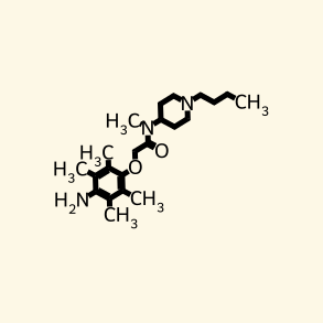 CCCCN1CCC(N(C)C(=O)COc2c(C)c(C)c(N)c(C)c2C)CC1